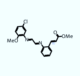 COC(=O)/C=C/c1ccccc1N=CC=Nc1cc(Cl)ccc1OC